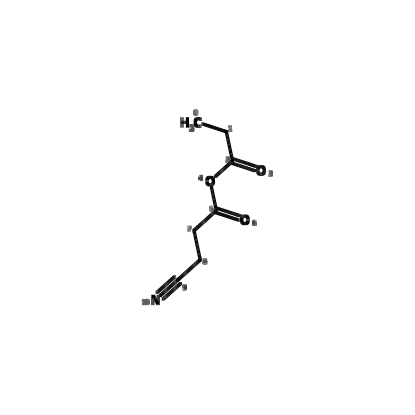 CCC(=O)OC(=O)CCC#N